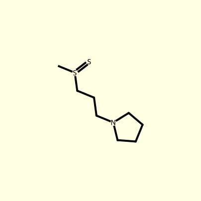 CS(=S)CCCN1CCCC1